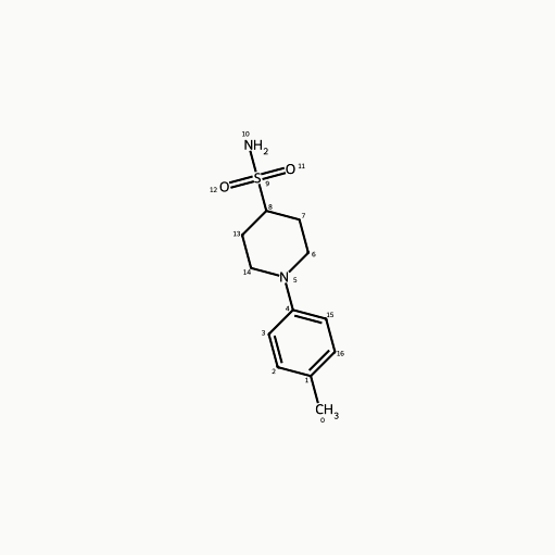 Cc1ccc(N2CCC(S(N)(=O)=O)CC2)cc1